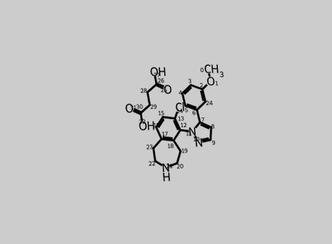 COc1cccc(-c2ccnn2-c2c(Cl)ccc3c2CCNCC3)c1.O=C(O)CCC(=O)O